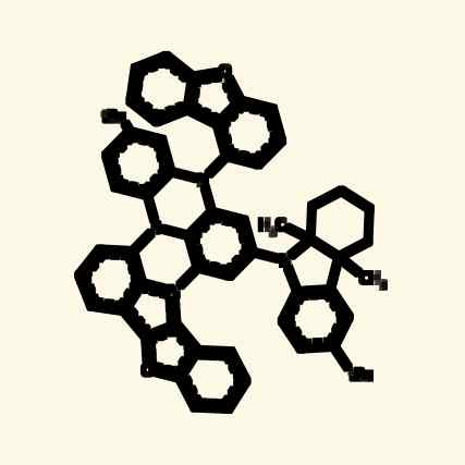 CC(C)(C)c1ccc2c(c1)N(c1cccc3oc4ccccc4c13)c1cc(N3c4ccc(C(C)(C)C)cc4C4(C)CCCCC34C)cc3c1B2c1cccc2c4oc5ccccc5c4n-3c12